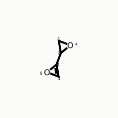 C1=C(C2CO2)O1